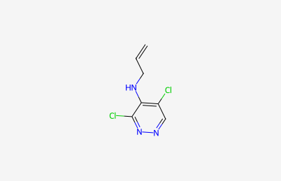 C=CCNc1c(Cl)cnnc1Cl